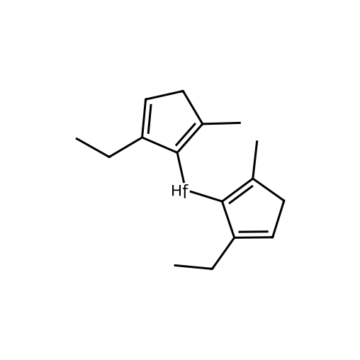 CCC1=CCC(C)=[C]1[Hf][C]1=C(C)CC=C1CC